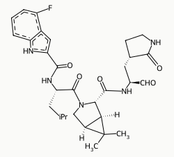 CC(C)C[C@H](NC(=O)c1cc2c(F)cccc2[nH]1)C(=O)N1C[C@H]2[C@@H]([C@H]1C(=O)N[C@H](C=O)C[C@@H]1CCNC1=O)C2(C)C